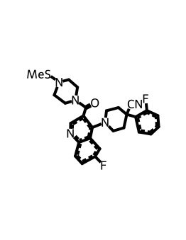 CSN1CCN(C(=O)c2cnc3ccc(F)cc3c2N2CCC(C#N)(c3ccccc3F)CC2)CC1